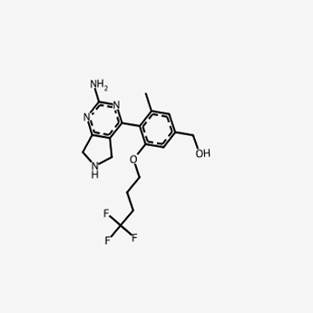 Cc1cc(CO)cc(OCCCC(F)(F)F)c1-c1nc(N)nc2c1CNC2